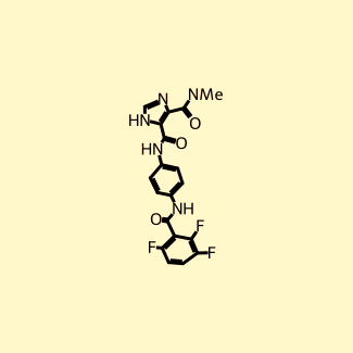 CNC(=O)c1nc[nH]c1C(=O)Nc1ccc(NC(=O)c2c(F)ccc(F)c2F)cc1